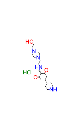 Cl.O=C1CC(C2CCNCC2)CC(=O)C1=CNCCN1CCN(CCO)CC1